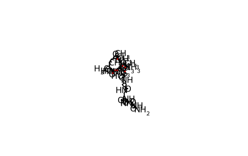 COc1cc2cc(c1Cl)N(C)C(=O)C[C@H](OC(=O)[C@H](C)N(C)C(=O)CCSC(CC(=O)NCC1CCC(C(=O)NCCCCC(NC(=O)CNC(=O)CNC(=O)CN)C(N)=O)CC1)C(=O)O)[C@]1(C)O[C@H]1[C@H](C)[C@@H]1C[C@@](O)(NC(=O)O1)[C@H](OC)/C=C/C=C(\C)C2